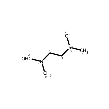 CN([C]=O)CC[S+](C)[O-]